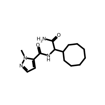 Cn1nccc1C(=O)NC(C(N)=O)C1CCCCCCC1